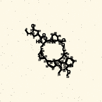 CCN1CC(C(=O)N[C@H]2Cc3nc(cs3)-c3ccc4c(c3)c(c(-c3cccnc3[C@H](C)OC)n4CC)CC(C)(C)COC(=O)[C@@H]3CCCN(N3)C2=O)CC1=O